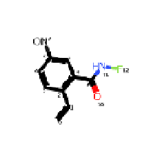 C=Cc1ccc(N=O)cc1C(=O)NF